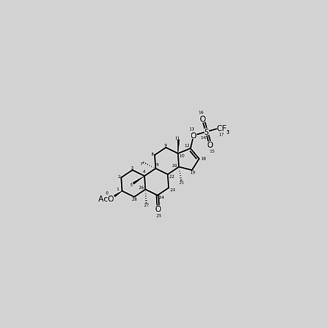 CC(=O)O[C@H]1CC[C@]2(C)[C@@]3(C)CC[C@]4(C)C(OS(=O)(=O)C(F)(F)F)=CC[C@@]4(C)C3CC(=O)[C@@]2(C)C1